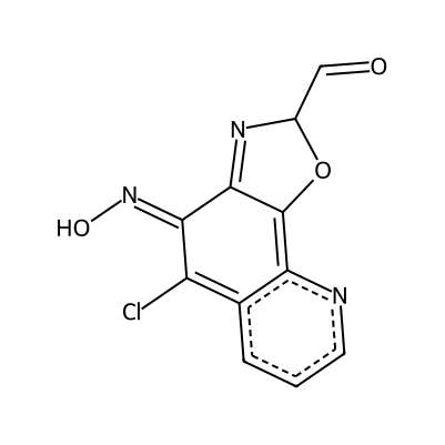 O=CC1N=C2C(=NO)C(Cl)=c3cccnc3=C2O1